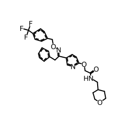 O=C(COc1ccc(/C(Cc2ccccc2)=N/OCc2ccc(C(F)(F)F)cc2)cn1)NCC1CCOCC1